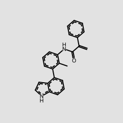 C=C(C(=O)Nc1cccc(-c2cccc3[nH]ccc23)c1C)c1ccccc1